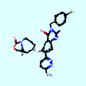 COc1ccc(-c2cc3nc(C)n(Cc4ccc(Cl)cc4)c(=O)c3cc2O[C@H]2CCN3C(=O)OC[C@@H]3C2)nn1